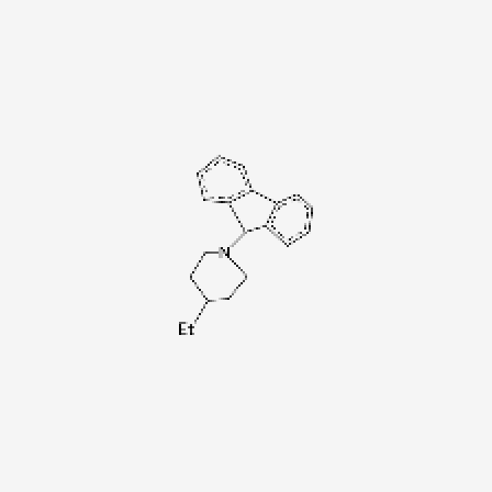 CCC1CCN(C2c3ccccc3-c3ccccc32)CC1